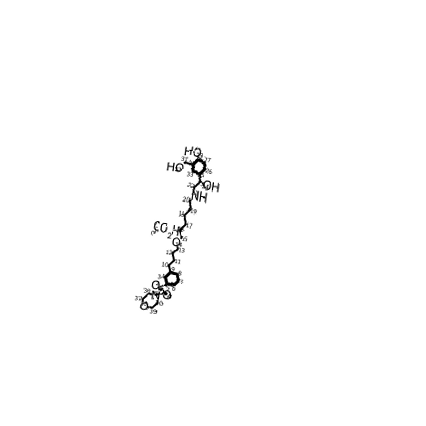 CC(=O)O.O=S(=O)(c1cccc(CCCCOCCCCCCNC[C@H](O)c2ccc(O)c(CO)c2)c1)N1CCOCC1